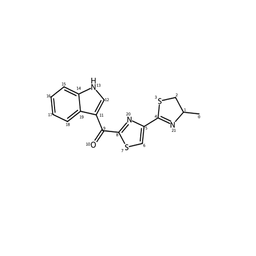 CC1CSC(c2csc(C(=O)c3c[nH]c4ccccc34)n2)=N1